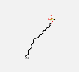 CS(=O)(=O)OCCCCCCCCCCCCCCCC=O